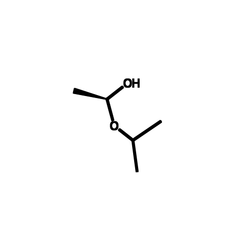 CC(C)O[C@@H](C)O